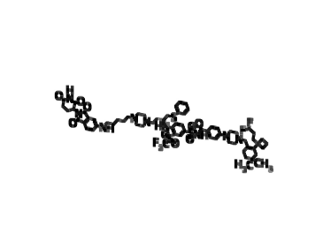 CC1(C)CCC(CN2CCN(c3ccc(C(=O)NS(=O)(=O)c4ccc(N[C@H](CCN5CCN(CCCCCNc6ccc7c(c6)C(=O)N(C6CCC(=O)NC6=O)C7=O)CC5)CSc5ccccc5)c(S(=O)(=O)C(F)(F)F)c4)cc3)CC2)=C(C2(CCC(F)F)CCC2)C1